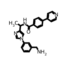 CC(NC(=O)c1ccc(-c2ccncc2)cc1)c1cn(-c2cccc(CN)c2)cn1